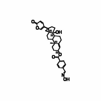 C[C@]12CC[C@H](OC(=O)c3ccc(C=NO)cc3)C=C1CCC1C2CC[C@]2(C)[C@@H](c3ccc(=O)oc3)CC[C@]12O